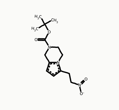 CC(C)(C)OC(=O)N1CCn2c(CC[N+](=O)[O-])ccc2C1